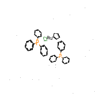 [Cl][Ru][C]1=CC=CC1.c1ccc(P(c2ccccc2)c2ccccc2)cc1.c1ccc(P(c2ccccc2)c2ccccc2)cc1